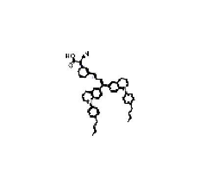 CCCCc1ccc(N2CCCc3cc(C(=C/C=C/C4=CC(=C(\C#N)C(=O)O)/CCC4)c4ccc5c(c4)CCCN5c4ccc(CCCC)cc4)ccc32)cc1